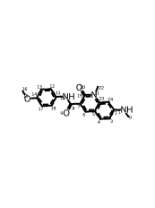 CNc1ccc2cc(C(=O)Nc3ccc(OC)cc3)c(=O)n(C)c2c1